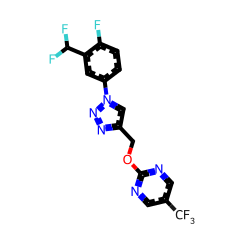 Fc1ccc(-n2cc(COc3ncc(C(F)(F)F)cn3)nn2)cc1C(F)F